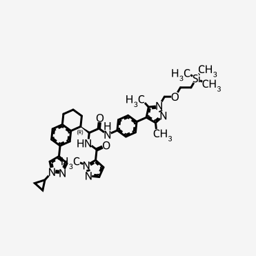 Cc1nn(COCC[Si](C)(C)C)c(C)c1-c1ccc(NC(=O)C(NC(=O)c2ccnn2C)[C@@H]2CCCc3ccc(-c4cnn(C5CC5)c4)cc32)cc1